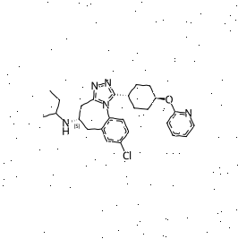 CCC(C)N[C@H]1Cc2cc(Cl)ccc2-n2c(nnc2[C@H]2CC[C@H](Oc3ccccn3)CC2)C1